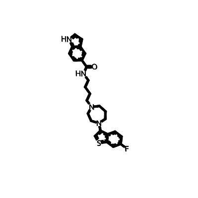 O=C(NCCCCN1CCCN(c2csc3cc(F)ccc23)CC1)c1ccc2[nH]ccc2c1